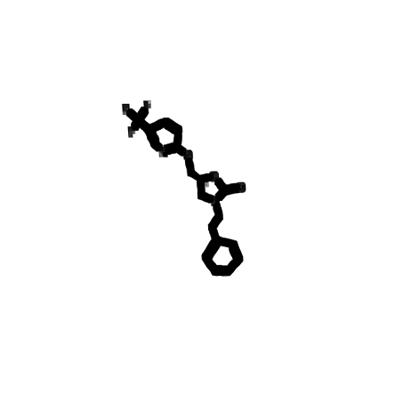 O=C1O[C@H](COc2ccc(C(F)(F)F)cn2)CN1CCc1ccccc1